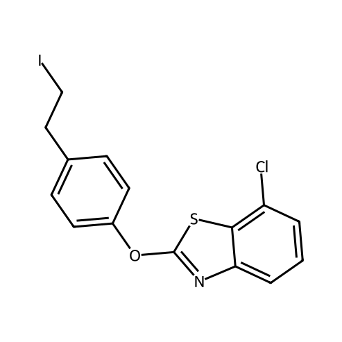 Clc1cccc2nc(Oc3ccc(CCI)cc3)sc12